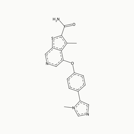 Cc1c(C(N)=O)sc2cncc(Oc3ccc(-c4cncn4C)cc3)c12